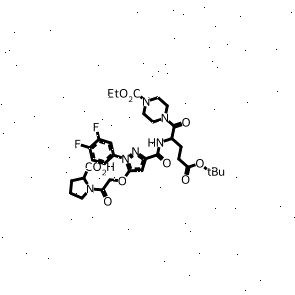 CCOC(=O)N1CCN(C(=O)C(CCC(=O)OC(C)(C)C)NC(=O)c2cc(OCC(=O)N3CCCC3C(=O)O)n(-c3ccc(F)c(F)c3)n2)CC1